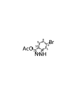 CC(=O)Oc1n[nH]c2cc(Br)ccc12